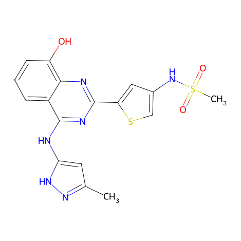 Cc1cc(Nc2nc(-c3cc(NS(C)(=O)=O)cs3)nc3c(O)cccc23)[nH]n1